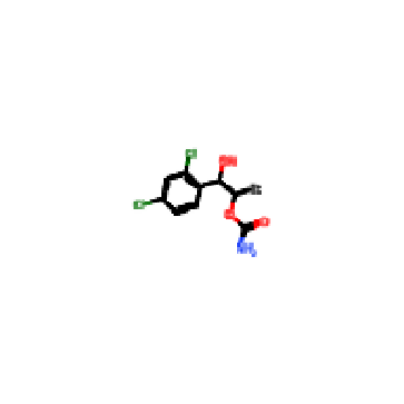 CCC(OC(N)=O)C(O)c1ccc(Cl)cc1Cl